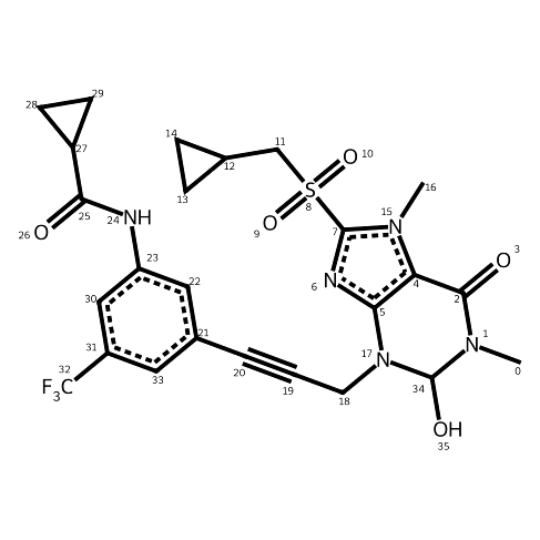 CN1C(=O)c2c(nc(S(=O)(=O)CC3CC3)n2C)N(CC#Cc2cc(NC(=O)C3CC3)cc(C(F)(F)F)c2)C1O